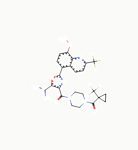 COc1ccc(-c2nc(C(=O)N3CCN(C(=O)C4(C(F)(F)F)CC4)CC3)c([C@H](C)N)o2)c2ccc(C(F)(F)F)nc12